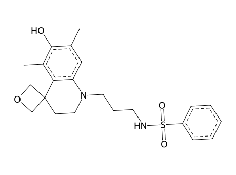 Cc1cc2c(c(C)c1O)C1(CCN2CCCNS(=O)(=O)c2ccccc2)COC1